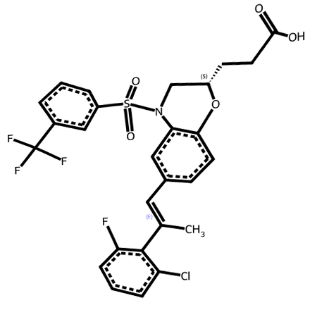 C/C(=C\c1ccc2c(c1)N(S(=O)(=O)c1cccc(C(F)(F)F)c1)C[C@H](CCC(=O)O)O2)c1c(F)cccc1Cl